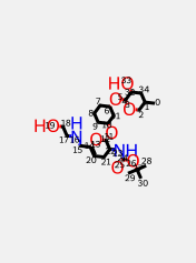 CC1COC(OC2CCCC(OC3OC(CNCCO)=CCC3NC(=O)OC(C)(C)C)C2)C(O)C1